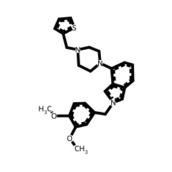 COc1ccc(Cn2cc3cccc(N4CCN(Cc5cccs5)CC4)c3c2)cc1OC